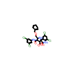 O=C(Nc1cc(Cl)cc(Cl)c1)C1C(COCc2ccccc2)NC2(C(=O)Nc3c(Cl)cc(Cl)cc32)C1C(=O)O